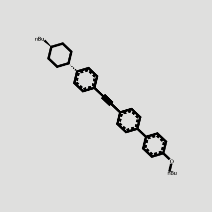 CCCCOc1ccc(-c2ccc(C#Cc3ccc([C@H]4CC[C@H](CCCC)CC4)cc3)cc2)cc1